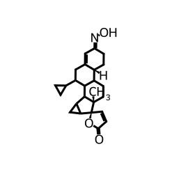 C[C@]12CCC3C(C(C4CC4)CC4=C/C(=N/O)CC[C@@H]43)C1C1CC1[C@@]21C=CC(=O)O1